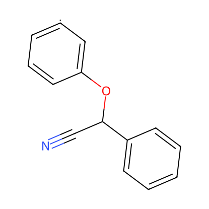 N#CC(Oc1c[c]ccc1)c1ccccc1